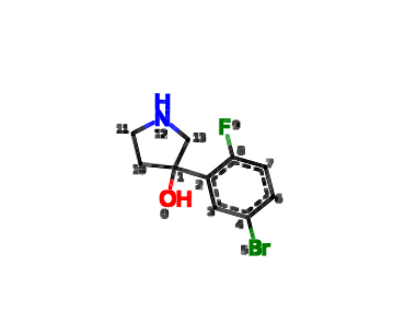 OC1(c2cc(Br)ccc2F)CCNC1